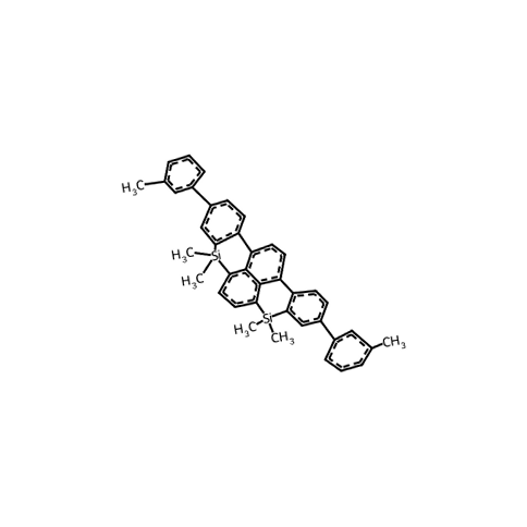 Cc1cccc(-c2ccc3c(c2)[Si](C)(C)c2ccc4c5c(ccc-3c25)-c2ccc(-c3cccc(C)c3)cc2[Si]4(C)C)c1